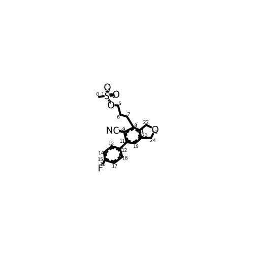 CS(=O)(=O)OCCCc1c(C#N)c(-c2ccc(F)cc2)cc2c1COC2